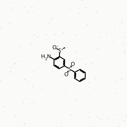 C[S+]([O-])c1cc(S(=O)(=O)c2ccccc2)ccc1N